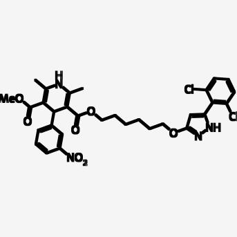 COC(=O)C1=C(C)NC(C)=C(C(=O)OCCCCCCOc2cc(-c3c(Cl)cccc3Cl)[nH]n2)C1c1cccc([N+](=O)[O-])c1